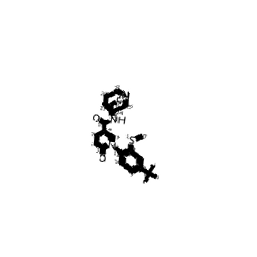 CSc1cc(C(C)(C)C)ccc1-n1cc(C(=O)NC2CN3CCC2CC3)ccc1=O